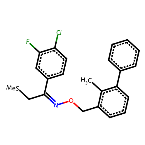 CSCC(=NOCc1cccc(-c2ccccc2)c1C)c1ccc(Cl)c(F)c1